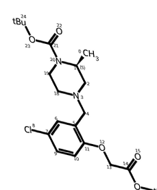 C[C@H]1CN(Cc2cc(Cl)ccc2OCC(=O)OC(C)(C)C)CCN1C(=O)OC(C)(C)C